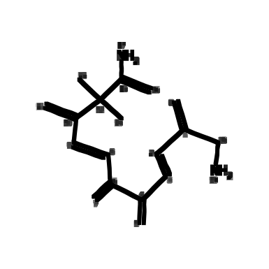 C=C(C=CC(=C)C(=C)C=CC(=C)C(C)(C)C(=C)N)CN